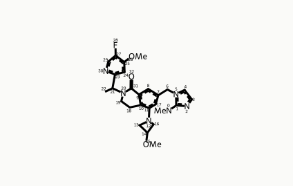 CNc1nccn1Cc1cc2c(c(N3CC(OC)C3)c1)CCN(C(C)c1cc(OC)c(F)cn1)C2=O